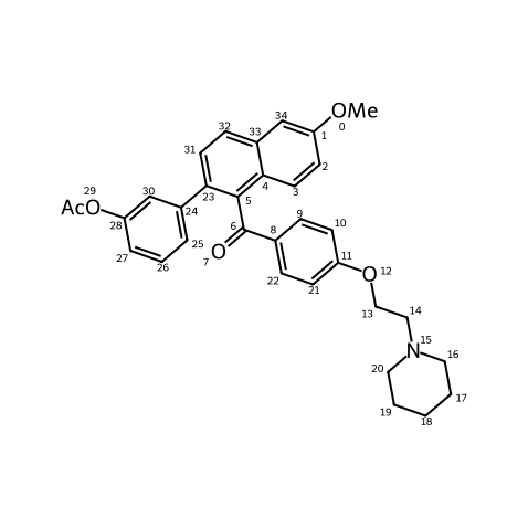 COc1ccc2c(C(=O)c3ccc(OCCN4CCCCC4)cc3)c(-c3cccc(OC(C)=O)c3)ccc2c1